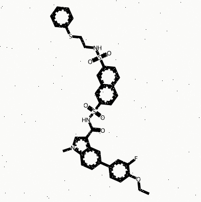 CCOc1ccc(-c2ccc3c(c2)c(C(=O)NS(=O)(=O)c2ccc4ccc(S(=O)(=O)NCCSc5ccccc5)cc4c2)cn3C)cc1F